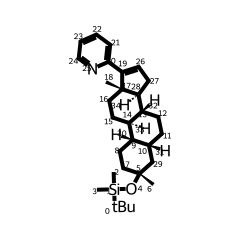 CC(C)(C)[Si](C)(C)O[C@]1(C)CC[C@H]2[C@H](CC[C@@H]3[C@@H]2CC[C@]2(C)C(c4ccccn4)=CC[C@@H]32)C1